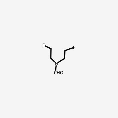 O=CN(CCF)CCF